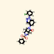 O=C1[C@@H]2CN(S(=O)(=O)c3ccccc3)C[C@@H]2CN1c1cccc2c1cnn2-c1ccccc1F